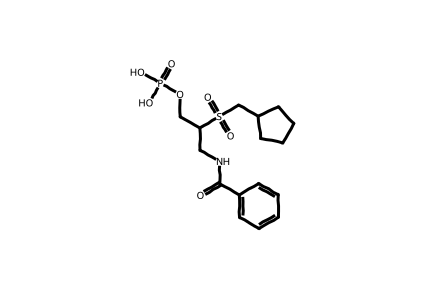 O=C(NCC(COP(=O)(O)O)S(=O)(=O)CC1CCCC1)c1ccccc1